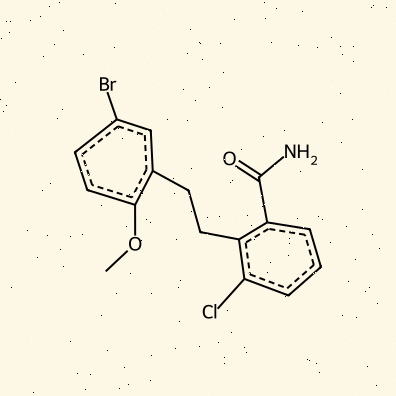 COc1ccc(Br)cc1CCc1c(Cl)cccc1C(N)=O